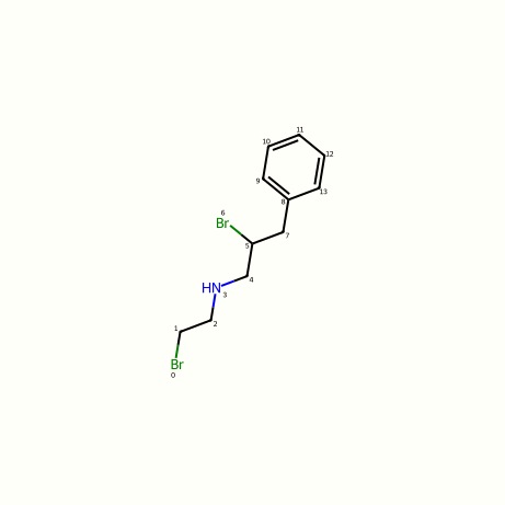 BrCCNCC(Br)Cc1ccccc1